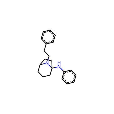 c1ccc(CCN2C3CCCC2(Nc2ccccc2)CC3)cc1